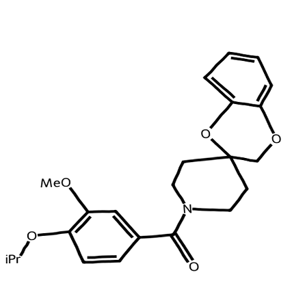 COc1cc(C(=O)N2CCC3(CC2)COc2ccccc2O3)ccc1OC(C)C